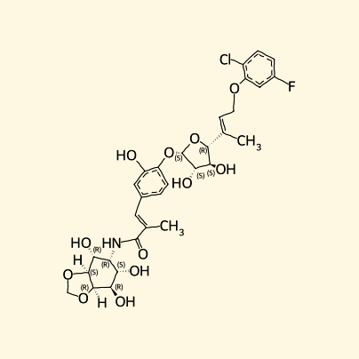 CC(=Cc1ccc(O[C@@H]2O[C@H](C(C)=CCOc3cc(F)ccc3Cl)[C@@H](O)[C@@H]2O)c(O)c1)C(=O)N[C@@H]1[C@H](O)[C@@H](O)[C@H]2OCO[C@H]2[C@@H]1O